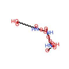 O=CCC[C@H](NC(=O)COCCOCCNC(C=O)OCCOCCNC(=O)CCCCCCCCCCCCC(=O)O)C(=O)O